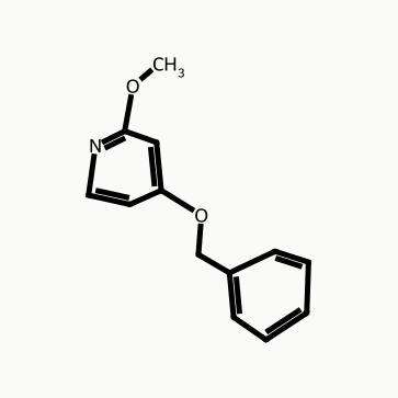 COc1cc(OCc2ccccc2)ccn1